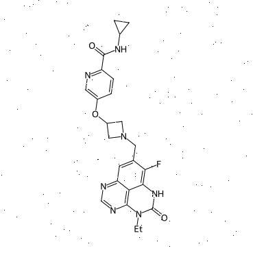 CCN1C(=O)Nc2c(F)c(CN3CC(Oc4ccc(C(=O)NC5CC5)nc4)C3)cc3ncnc1c23